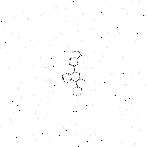 CN1CC(c2ccc3ncsc3c2)c2ccccc2C1N1CCCCC1